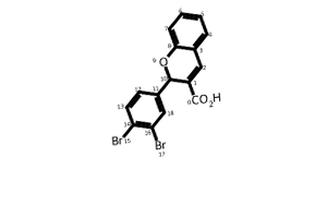 O=C(O)C1=Cc2ccccc2OC1c1ccc(Br)c(Br)c1